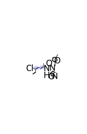 C=C/C(Cl)=C\C=C(/C)NC(=O)N(Cc1ccc(C)o1)c1cnoc1